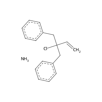 C=CC(Cl)(Cc1ccccc1)Cc1ccccc1.N